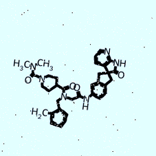 [CH2]c1ccccc1CN(CC(=O)Nc1ccc2c(c1)CC1(C2)C(=O)Nc2ncccc21)C(=O)C1CCN(C(=O)N(C)C)CC1